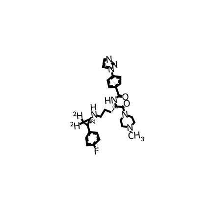 [2H]C1([2H])C(c2ccc(F)cc2)[C@@H]1NCCC[C@H](NC(=O)c1ccc(-n2ccnn2)cc1)C(=O)N1CCN(C)CC1